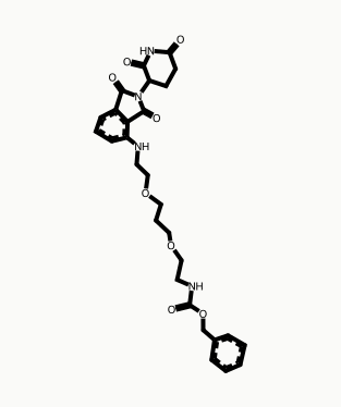 O=C1CCC(N2C(=O)c3cccc(NCCOCCCOCCNC(=O)OCc4ccccc4)c3C2=O)C(=O)N1